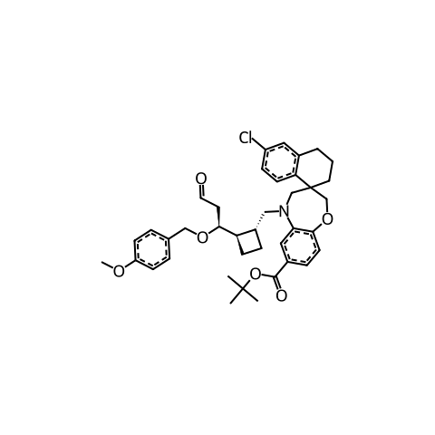 COc1ccc(CO[C@@H](CC=O)[C@@H]2CC[C@H]2CN2CC3(CCCc4cc(Cl)ccc43)COc3ccc(C(=O)OC(C)(C)C)cc32)cc1